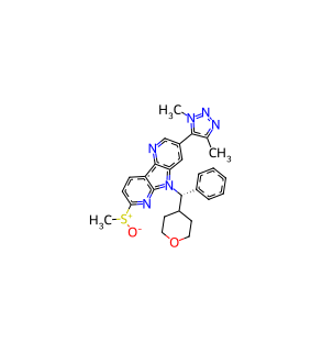 Cc1nnn(C)c1-c1cnc2c3ccc([S+](C)[O-])nc3n([C@H](c3ccccc3)C3CCOCC3)c2c1